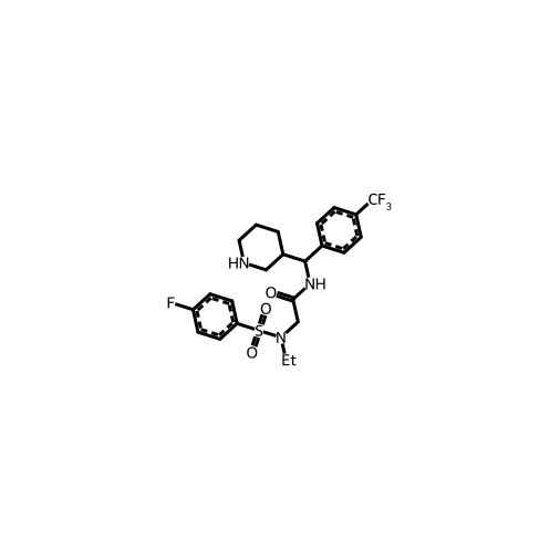 CCN(CC(=O)NC(c1ccc(C(F)(F)F)cc1)C1CCCNC1)S(=O)(=O)c1ccc(F)cc1